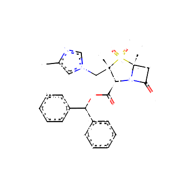 Cc1cn(C[C@@]2(C)[C@H](C(=O)OC(c3ccccc3)c3ccccc3)N3C(=O)C[C@H]3S2(=O)=O)cn1